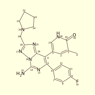 Cc1cc(-c2c(-c3ccc(F)cc3)nc(N)n3nc(CN4CCCC4)nc23)c[nH]c1=O